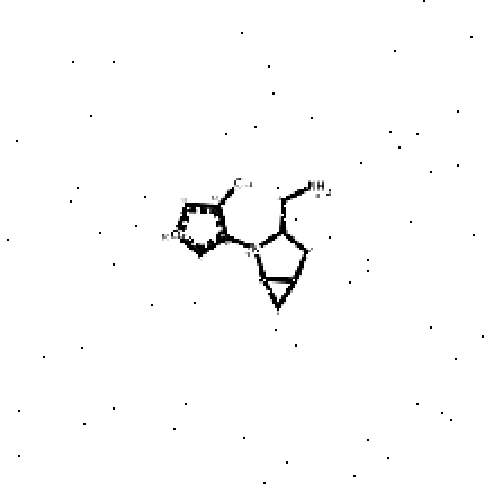 NCC1CC2CC2N1c1[c]occ1Cl